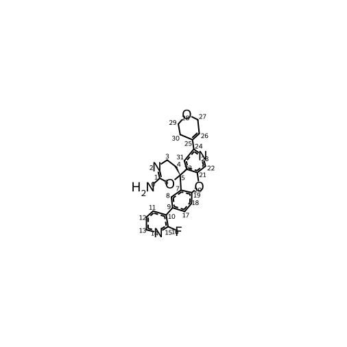 NC1=NCC[C@]2(O1)c1cc(-c3cccnc3F)ccc1Oc1cnc(C3=CCOCC3)cc12